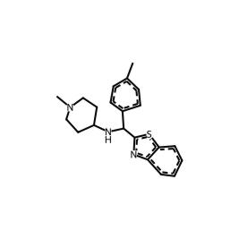 Cc1ccc(C(NC2CCN(C)CC2)c2nc3ccccc3s2)cc1